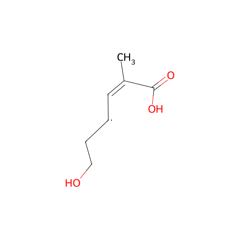 CC(=C[CH]CCO)C(=O)O